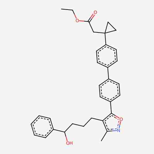 CCOC(=O)CC1(c2ccc(-c3ccc(-c4onc(C)c4CCCC(O)c4ccccc4)cc3)cc2)CC1